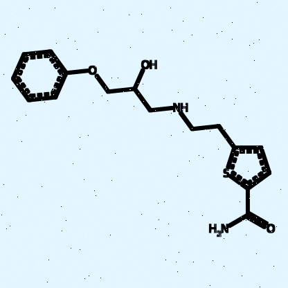 NC(=O)c1ccc(CCNCC(O)COc2ccccc2)s1